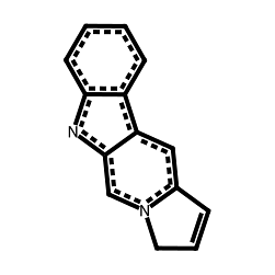 C1=Cc2cc3c4ccccc4nc-3cn2C1